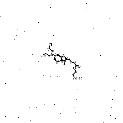 CCCCCCCCCCCCOC(=O)CCCc1nc2cc(N(CCCl)CCCl)ccc2n1C